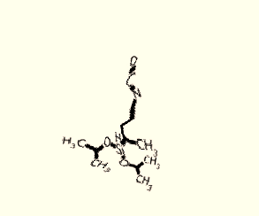 CC(C)O[SiH](OC(C)C)C(C)CCCN=C=O